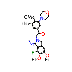 CCOc1cc2c(c(F)c1OCC)/C(=N/C)N(CC(=O)c1cc(N3CCOCC3)c(OC)c(C(C)(C)C)c1)C2